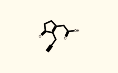 C#CCC1=C(CC(=O)O)CCC1=O